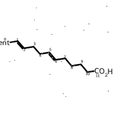 CCCCCC=CCCC=CCCCCC(=O)O